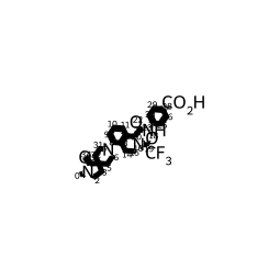 CN1CCC2(CCN(c3cccc4c3CCN(C(=O)C(F)(F)F)C4C(=O)Nc3ccc(C(=O)O)cc3)CC2)C1=O